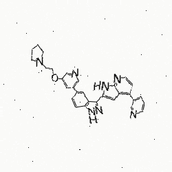 c1cncc(-c2ccnc3[nH]c(-c4n[nH]c5ccc(-c6cncc(OCCN7CCCC7)c6)cc45)cc23)c1